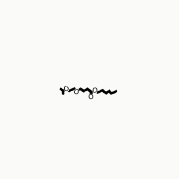 CCCCCCOC(=O)CCCOCCOC(C)C